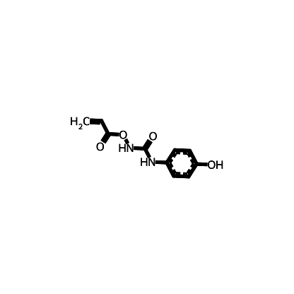 C=CC(=O)ONC(=O)Nc1ccc(O)cc1